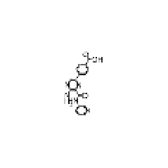 Nc1ncc(-c2ccc(C(=O)O)cc2)nc1C(=O)Nc1cccnc1